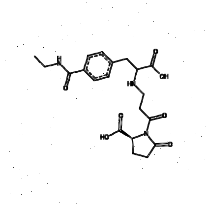 CCNC(=O)c1ccc(CC(NCCC(=O)N2C(=O)CC[C@H]2C(=O)O)C(=O)O)cc1